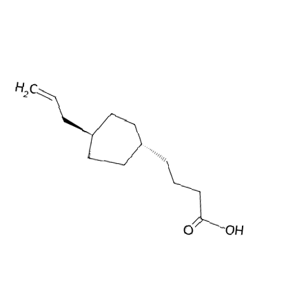 C=CC[C@H]1CC[C@H](CCCC(=O)O)CC1